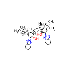 CC(C)(C)CC(C)(C)c1ccc(O)c(-n2nc3ccccc3n2)c1.CCC(C)(C)c1cc(-n2nc3ccccc3n2)c(O)c(C(C)(C)CC)c1